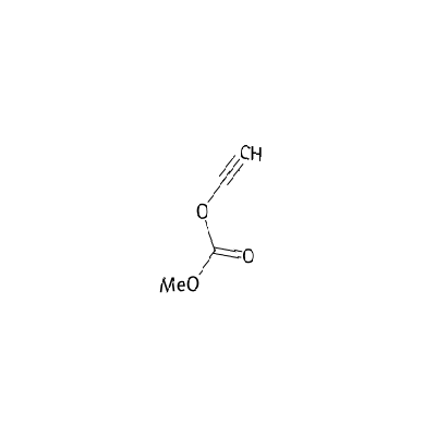 C#COC(=O)OC